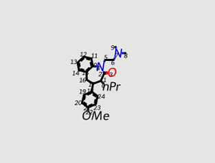 CCCC1C(=O)N(CCN(C)C)c2ccccc2CC1c1ccc(OC)cc1